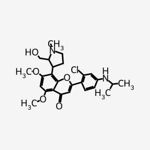 COc1cc(OC)c2c(=O)cc(-c3ccc(NC(C)C)cc3Cl)oc2c1C1CCN(C)C1CO